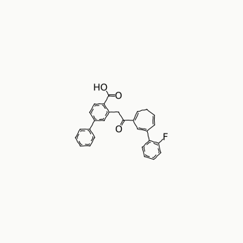 O=C(Cc1cc(-c2ccccc2)ccc1C(=O)O)C1=CCC=CC(c2ccccc2F)=C1